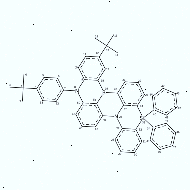 CC(C)(C)c1ccc(N2c3ccc(C(C)(C)C)cc3B3c4cccc5c4N(c4ccccc4[Si]5(c4ccccc4)c4ccccc4)c4cccc2c43)cc1